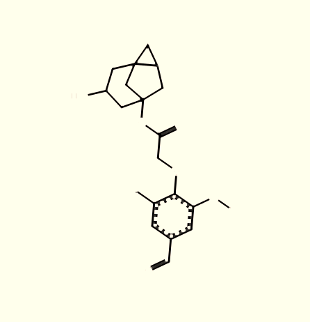 C=Cc1cc(I)c(OCC(=O)OC23CC(C)CC4(CC4C2)C3)c(OCC)c1